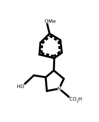 COc1ccc(C2CN(C(=O)O)CC2CO)cc1